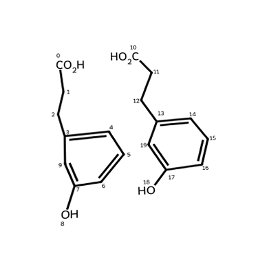 O=C(O)CCc1cccc(O)c1.O=C(O)CCc1cccc(O)c1